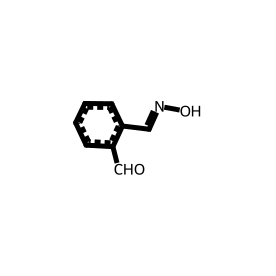 O=Cc1ccccc1/C=N/O